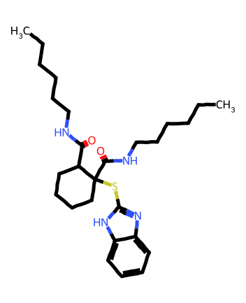 CCCCCCNC(=O)C1CCCCC1(Sc1nc2ccccc2[nH]1)C(=O)NCCCCCC